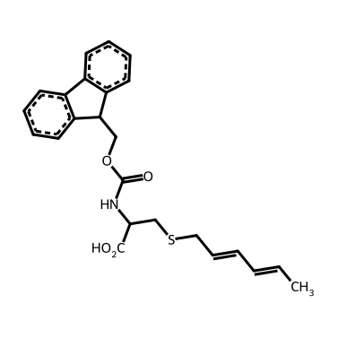 C/C=C/C=C/CSCC(NC(=O)OCC1c2ccccc2-c2ccccc21)C(=O)O